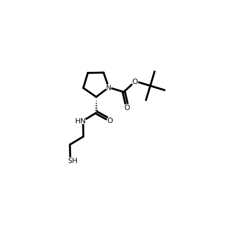 CC(C)(C)OC(=O)N1CCC[C@H]1C(=O)NCCS